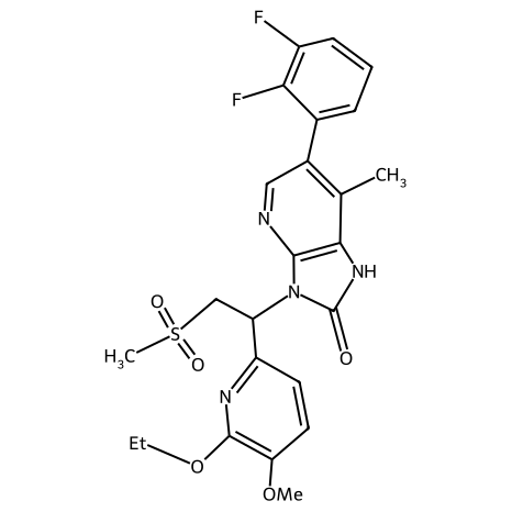 CCOc1nc(C(CS(C)(=O)=O)n2c(=O)[nH]c3c(C)c(-c4cccc(F)c4F)cnc32)ccc1OC